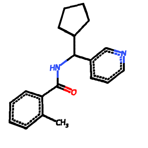 Cc1ccccc1C(=O)NC(c1cccnc1)C1CCCC1